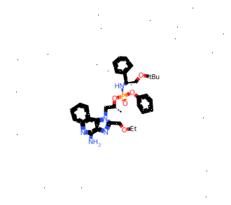 CCOCc1nc2c(N)nc3ccccc3c2n1C[C@@H](C)O[P@](=O)(N[C@H](COC(C)(C)C)c1ccccc1)Oc1ccccc1